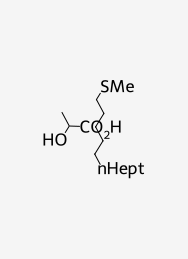 CC(O)C(=O)O.CCCCCCCCCCCCSC